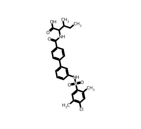 CCC(C)C(NC(=O)c1ccc(-c2cccc(NS(=O)(=O)c3cc(C)c(Cl)cc3C)c2)cc1)C(=O)O